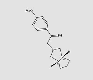 COc1ccc(C(=P)CN2C[C@@H]3CCC[C@]3(C)C2)cc1